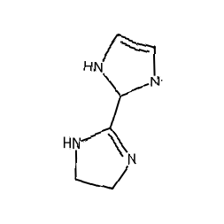 C1=CNC(C2=NCCN2)[N]1